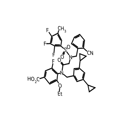 CCOc1cc(C(=O)O)cc(F)c1N(Cc1cc(C2CC2)cc(C2CC2)c1)C(=O)CN(Cc1ccccc1C#N)S(=O)(=O)c1cc(C)c(F)c(F)c1F